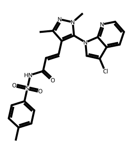 Cc1ccc(S(=O)(=O)NC(=O)/C=C/c2c(C)nn(C)c2-n2cc(Cl)c3cccnc32)cc1